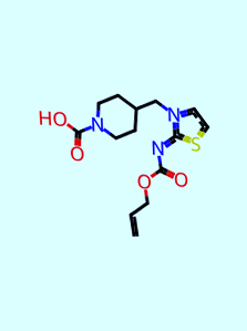 C=CCOC(=O)N=c1sccn1CC1CCN(C(=O)O)CC1